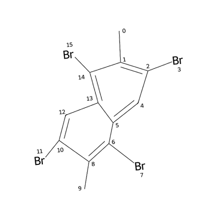 Cc1c(Br)cc2c(Br)c(C)c(Br)cc2c1Br